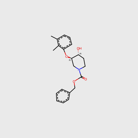 Cc1cccc(O[C@@H]2CN(C(=O)OCc3ccccc3)CC[C@H]2O)c1C